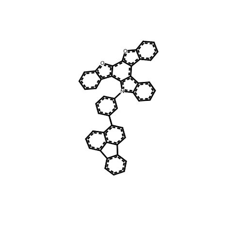 c1cc(-c2ccc3c4c(cccc24)-c2ccccc2-3)cc(-n2c3ccccc3c3c4c5ccccc5oc4c4oc5ccccc5c4c32)c1